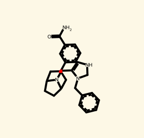 NC(=O)c1cccc(C2CC3CCC(C2)N3CC2=CNCN2Cc2ccccc2)c1